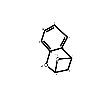 c1ccc2c(c1)OC1CC2S1